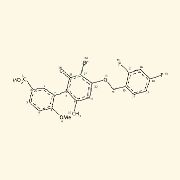 COc1ccc(C(=O)O)cc1-n1c(C)cc(OCc2ccc(F)cc2F)c(Br)c1=O